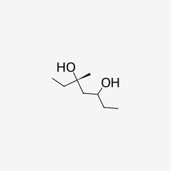 CCC(O)C[C@@](C)(O)CC